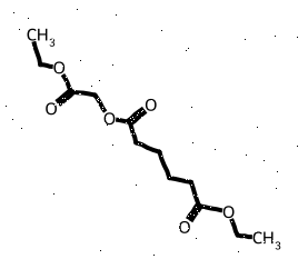 CCOC(=O)CCCCC(=O)OCC(=O)OCC